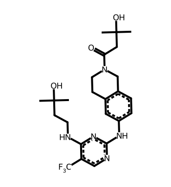 CC(C)(O)CCNc1nc(Nc2ccc3c(c2)CCN(C(=O)CC(C)(C)O)C3)ncc1C(F)(F)F